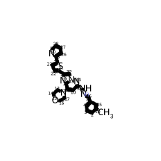 Cc1cccc(/C=N/Nc2cc(N3CCOCC3)c3nc(-c4ccc(-c5ccccn5)s4)cn3n2)c1